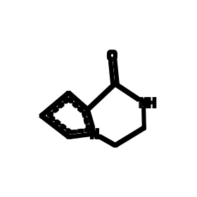 O=C1NCCn2cccc21